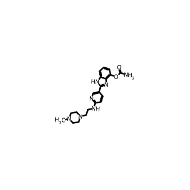 CN1CCN(CCNc2ccc(-c3nc4c(OC(N)=O)cccc4[nH]3)cn2)CC1